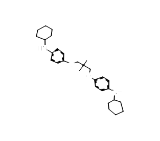 CC(C)(COc1ccc(NC2CCCCC2)cc1)COc1ccc(NC2CCCCC2)cc1